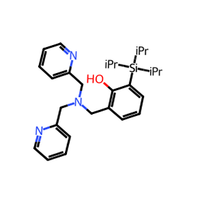 CC(C)[Si](c1cccc(CN(Cc2ccccn2)Cc2ccccn2)c1O)(C(C)C)C(C)C